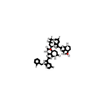 CC12CCNc3nc(-c4nn(C(CC56CCC(=O)Nc7nc(-c8nn(Cc9ccccc9F)c9ncc(F)cc89)nc(c75)NC(=O)C6)CC(F)(F)C(F)(F)F)c5ncc(F)cc45)nc(c31)NC2=O